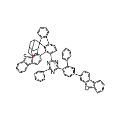 c1ccc(-c2nc(-c3ccc(-c4ccc5c(c4)oc4ccccc45)cc3-c3ccccc3)nc(-c3ccc4c(c3-c3ccc5c(c3)sc3ccccc35)C3(c5ccccc5-4)C4CC5CC(C4)CC3C5)n2)cc1